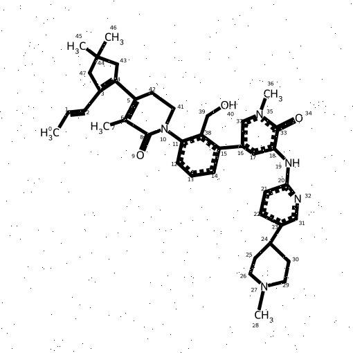 C/C=C/C1=C(C2=C(C)C(=O)N(c3cccc(-c4cc(Nc5ccc(C6CCN(C)CC6)cn5)c(=O)n(C)c4)c3CO)CC2)CC(C)(C)C1